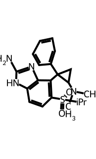 CC(C)S(=O)(=O)c1ccc2[nH]c(N)nc2c1C1(c2ccccc2)CC1N(C)C